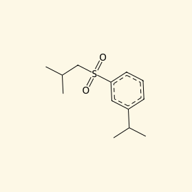 CC(C)CS(=O)(=O)c1cccc(C(C)C)c1